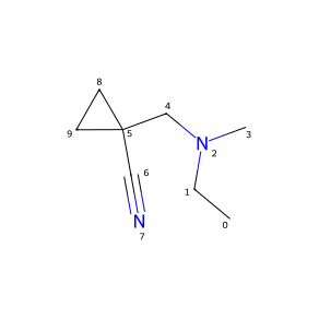 CCN(C)CC1(C#N)CC1